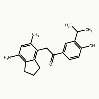 Cc1cc(N)c2c(c1CC(=O)c1ccc(O)c(C(C)C)c1)CCC2